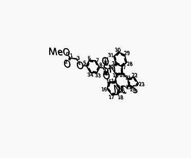 COC(=O)COc1ccc(S(=O)(=O)n2c(-c3ccccc3)c(-c3ccsc3C#N)c3ccccc32)cc1